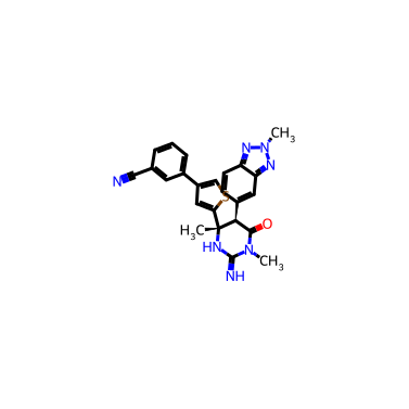 CN1C(=N)N[C@](C)(c2cc(-c3cccc(C#N)c3)cs2)[C@@H](c2ccc3nn(C)nc3c2)C1=O